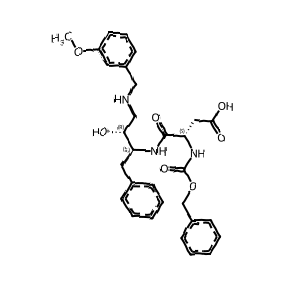 COc1cccc(CNC[C@@H](O)[C@H](Cc2ccccc2)NC(=O)[C@H](CC(=O)O)NC(=O)OCc2ccccc2)c1